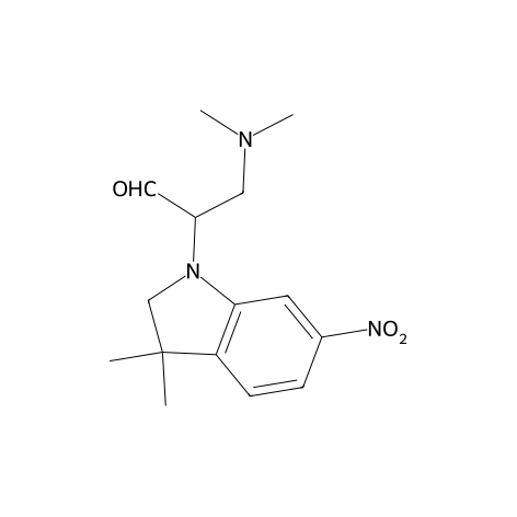 CN(C)CC(C=O)N1CC(C)(C)c2ccc([N+](=O)[O-])cc21